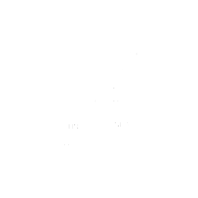 CC(=O)Nc1c(OCCCCBr)ccc2[nH]c(=O)ccc12